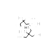 NC(CO)(CO)CO.O=C([O-])CC(O)(CC(=O)O)C(=O)[O-].[Ca+2]